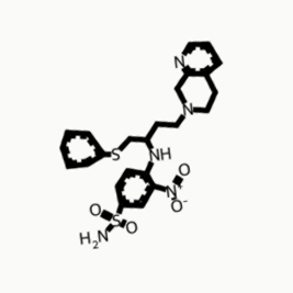 NS(=O)(=O)c1ccc(NC(CCN2CCc3cccnc3C2)CSc2ccccc2)c([N+](=O)[O-])c1